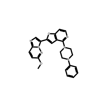 COc1ccc2ncc(-c3cc4c(N5CCN(c6ccccc6)CC5)nccc4o3)n2n1